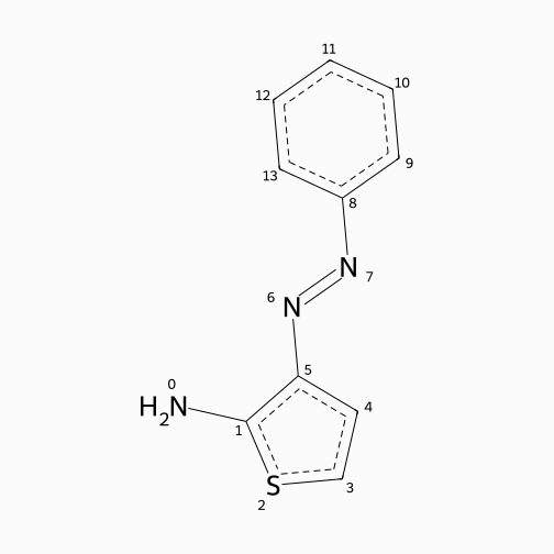 Nc1sccc1N=Nc1ccccc1